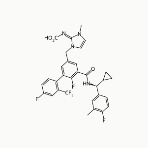 Cc1cc([C@@H](NC(=O)c2cc(Cn3ccn(C)/c3=N/C(=O)O)cc(-c3ccc(F)cc3C(F)(F)F)c2F)C2CC2)ccc1F